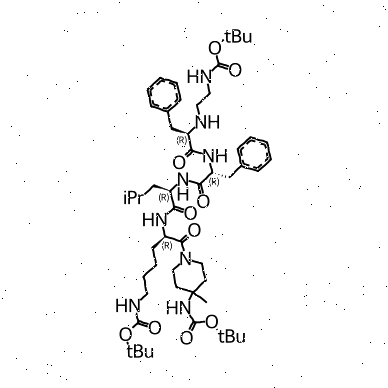 CC(C)C[C@@H](NC(=O)[C@@H](Cc1ccccc1)NC(=O)[C@@H](Cc1ccccc1)NCCNC(=O)OC(C)(C)C)C(=O)N[C@H](CCCCNC(=O)OC(C)(C)C)C(=O)N1CCC(C)(NC(=O)OC(C)(C)C)CC1